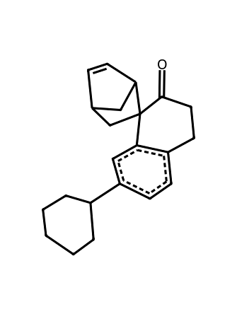 O=C1CCc2ccc(C3CCCCC3)cc2C12CC1C=CC2C1